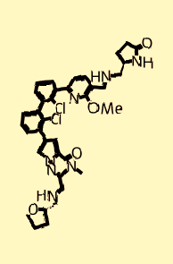 COc1nc(-c2cccc(-c3cccc(-c4cc5c(=O)n(C)c(CNC[C@@H]6CCCO6)nn5c4)c3Cl)c2Cl)ccc1CNC[C@H]1CCC(=O)N1